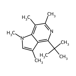 Cc1nc(C(C)(C)C)c2c(C)cn(C)c2c1C